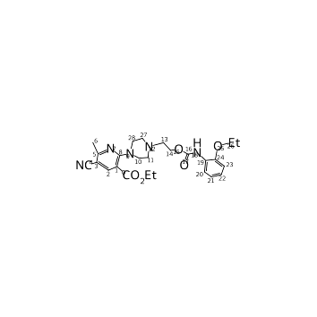 CCOC(=O)c1cc(C#N)c(C)nc1N1CCN(CCOC(=O)Nc2ccccc2OCC)CC1